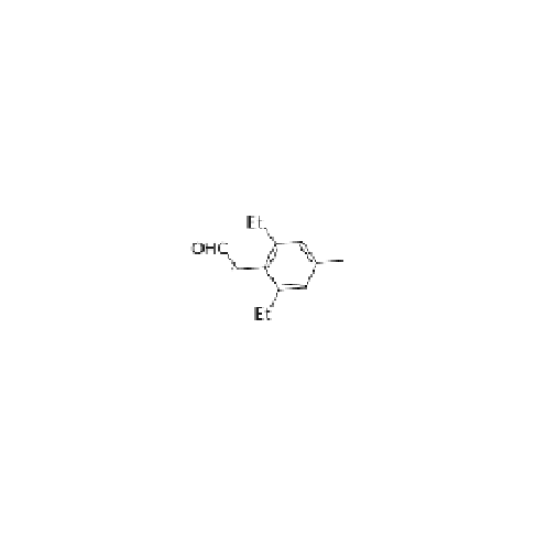 CCc1cc(C)cc(CC)c1[CH]C=O